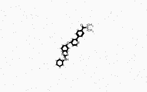 CN(C)C(=O)c1ccc(-c2cc(Oc3ccc4nc(NC5CCCCC5)sc4c3)ccn2)cc1